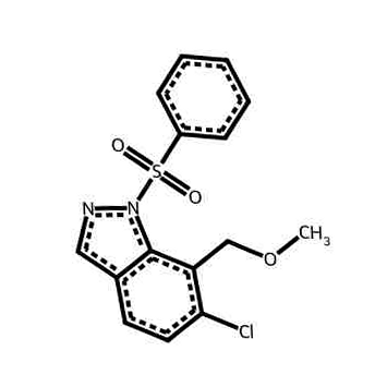 COCc1c(Cl)ccc2cnn(S(=O)(=O)c3ccccc3)c12